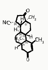 CC1=CC(=O)C[C@@H]2CC[C@H]3[C@@H]4[C@H](C#N)CC(=O)[C@@]4(C)CC[C@@H]3[C@@]12C